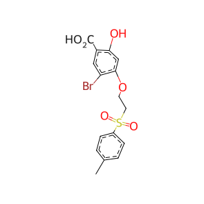 Cc1ccc(S(=O)(=O)CCOc2cc(O)c(C(=O)O)cc2Br)cc1